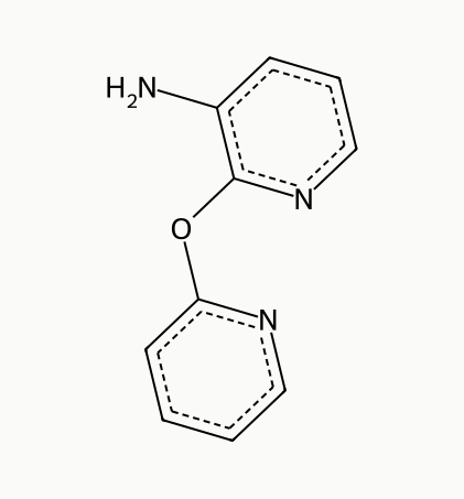 Nc1cccnc1Oc1ccccn1